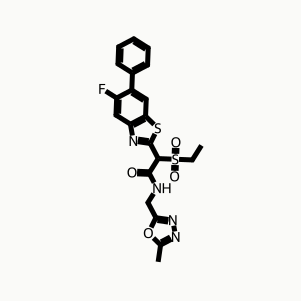 CCS(=O)(=O)C(C(=O)NCc1nnc(C)o1)c1nc2cc(F)c(-c3ccccc3)cc2s1